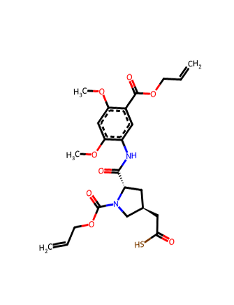 C=CCOC(=O)c1cc(NC(=O)[C@@H]2C[C@@H](CC(=O)S)CN2C(=O)OCC=C)c(OC)cc1OC